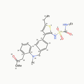 CCNC(=O)S(=O)(=O)Nc1sc(CC(C)C)cc1-c1ccc(CN(C(C)=O)c2ccccc2CC(=O)OC)cc1